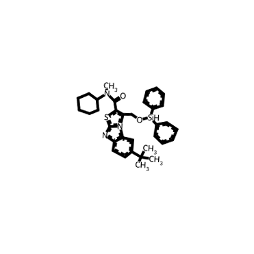 CN(C(=O)c1sc2nc3ccc(C(C)(C)C)cc3n2c1CO[SiH](c1ccccc1)c1ccccc1)C1CCCCC1